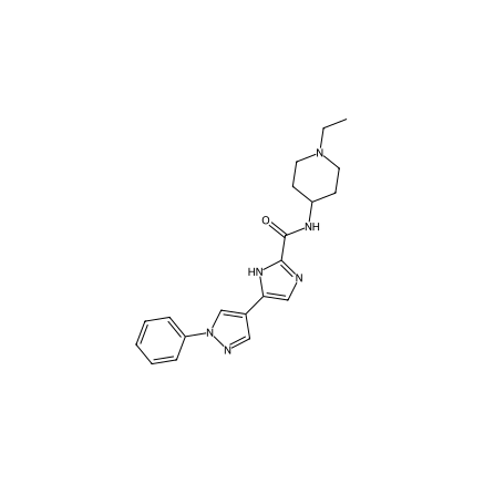 CCN1CCC(NC(=O)c2ncc(-c3cnn(-c4ccccc4)c3)[nH]2)CC1